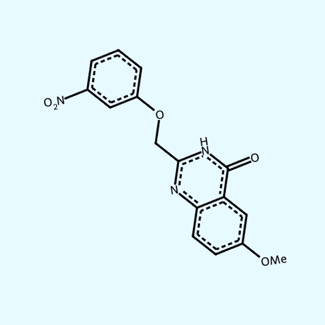 COc1ccc2nc(COc3cccc([N+](=O)[O-])c3)[nH]c(=O)c2c1